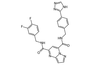 O=C(NCc1ccc(F)c(F)c1)c1cc(C(=O)NCc2ccc(-c3nnc[nH]3)cc2)n2nccc2n1